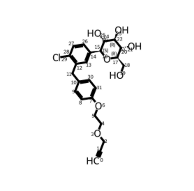 C#CCOCCOc1ccc(Cc2cc([C@@H]3O[C@H](CO)[C@@H](O)[C@H](O)[C@H]3O)ccc2Cl)cc1